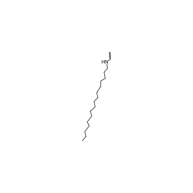 C=CNCCCCCCCCCCCCCCCC